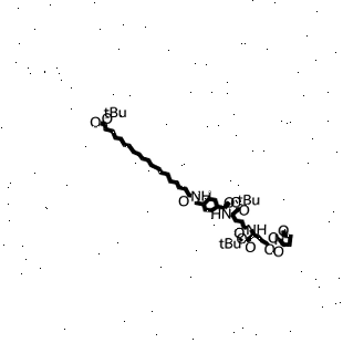 CC(C)(C)OC(=O)CCCCCCCCCCCCCCCCCCC(=O)NCC1CCC(C(=O)NC(CCC(=O)NC(CCC(=O)ON2C(=O)CCC2=O)C(=O)OC(C)(C)C)C(=O)OC(C)(C)C)CC1